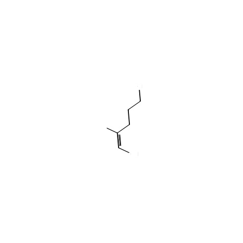 C/C=C(/C)CCCC